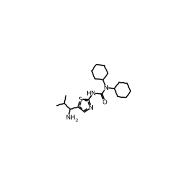 CC(C)C(N)c1cnc(NC(=O)N(C2CCCCC2)C2CCCCC2)s1